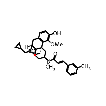 COc1c(O)ccc2c1[C@]13CCN(CC4CC4)[C@H](C2)[C@]1(O)CCC(N(C)C(=O)/C=C/c1cccc(C)c1)C3